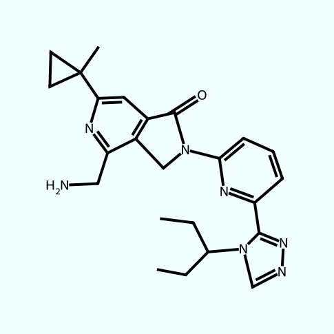 CCC(CC)n1cnnc1-c1cccc(N2Cc3c(cc(C4(C)CC4)nc3CN)C2=O)n1